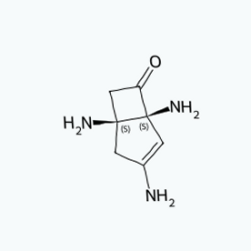 NC1=C[C@@]2(N)C(=O)C[C@@]2(N)C1